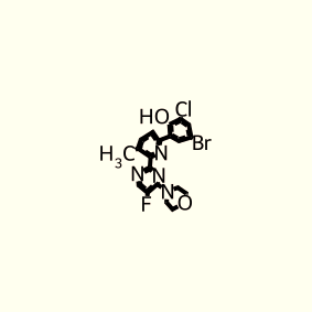 Cc1ccc(-c2cc(Br)cc(Cl)c2O)nc1-c1ncc(F)c(N2CCOCC2)n1